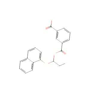 C[CH]C(OC(=O)c1cccc(C(=O)O)c1)Oc1cccc2ccccc12